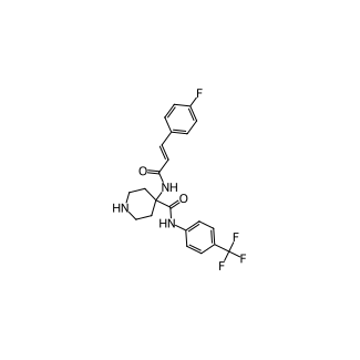 O=C(C=Cc1ccc(F)cc1)NC1(C(=O)Nc2ccc(C(F)(F)F)cc2)CCNCC1